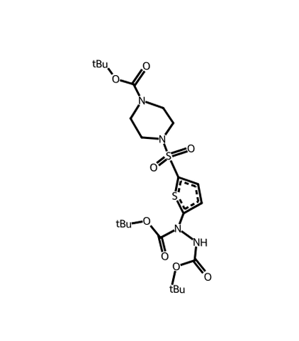 CC(C)(C)OC(=O)NN(C(=O)OC(C)(C)C)c1ccc(S(=O)(=O)N2CCN(C(=O)OC(C)(C)C)CC2)s1